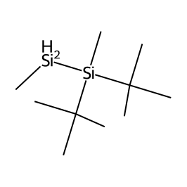 C[SiH2][Si](C)(C(C)(C)C)C(C)(C)C